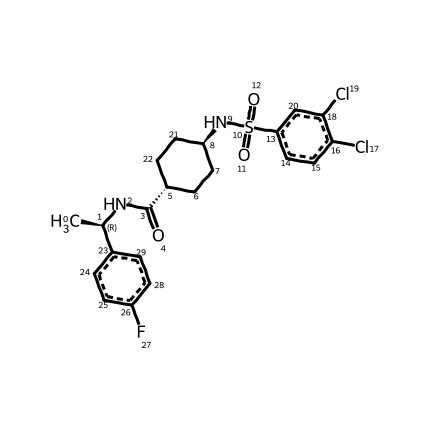 C[C@@H](NC(=O)[C@H]1CC[C@H](NS(=O)(=O)c2ccc(Cl)c(Cl)c2)CC1)c1ccc(F)cc1